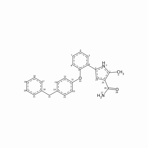 Cc1[nH]c(-c2ccccc2Oc2ccc(Cc3ccccc3)cc2)cc1C(N)=O